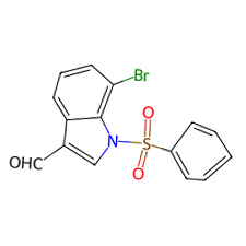 O=Cc1cn(S(=O)(=O)c2ccccc2)c2c(Br)cccc12